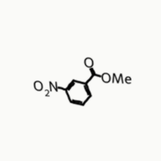 [CH2]OC(=O)c1cccc([N+](=O)[O-])c1